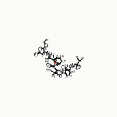 CCOC1OC(=O)CC1NC(=O)C1C2CCC(C2)N1C(=O)C(NC(=O)c1cccc(NC(=O)C(C)C)c1Cl)C(C)(C)C